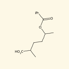 CC(CCC(C)C(=O)O)OC(=O)C(C)C